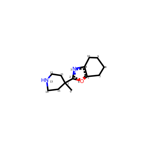 CC1(c2nc3c(o2)CCCC3)CCNCC1